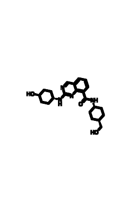 O=C(N[C@H]1CC[C@H](CO)CC1)c1cccc2cnc(N[C@H]3CC[C@H](O)CC3)nc12